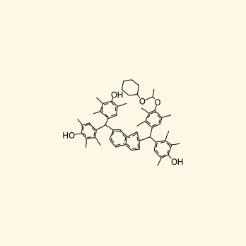 Cc1cc(C(c2ccc3ccc(C(c4cc(C)c(O)c(C)c4C)c4cc(C)c(OC(C)OC5CCCCC5)c(C)c4C)cc3c2)c2cc(C)c(O)c(C)c2C)c(C)c(C)c1O